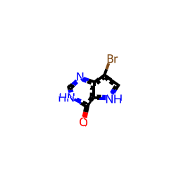 O=c1[nH]cnc2c(Br)c[nH]c12